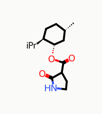 CC(C)[C@H]1CC[C@H](C)C[C@@H]1OC(=O)C1CCNC1=O